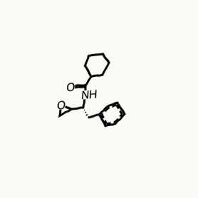 O=C(N[C@H](Cc1ccccc1)C1CO1)C1CCCCC1